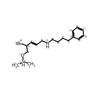 C[SiH](C)OCC(C=CCNCCCCc1ccccc1)C(C)(C)C